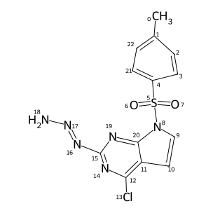 Cc1ccc(S(=O)(=O)n2ccc3c(Cl)nc(N=NN)nc32)cc1